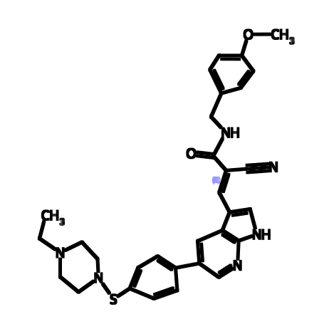 CCN1CCN(Sc2ccc(-c3cnc4[nH]cc(/C=C(\C#N)C(=O)NCc5ccc(OC)cc5)c4c3)cc2)CC1